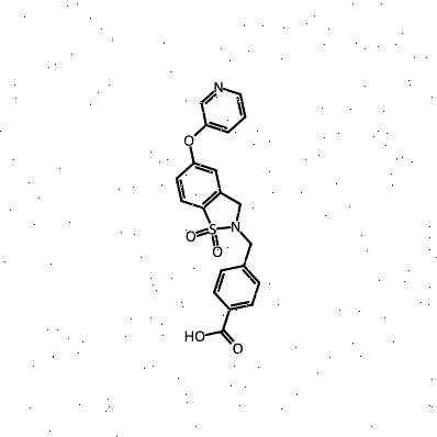 O=C(O)c1ccc(CN2Cc3cc(Oc4cccnc4)ccc3S2(=O)=O)cc1